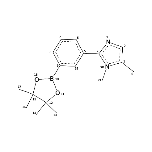 Cc1cnc(-c2cccc(B3OC(C)(C)C(C)(C)O3)c2)n1C